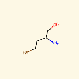 NC(CO)CCS